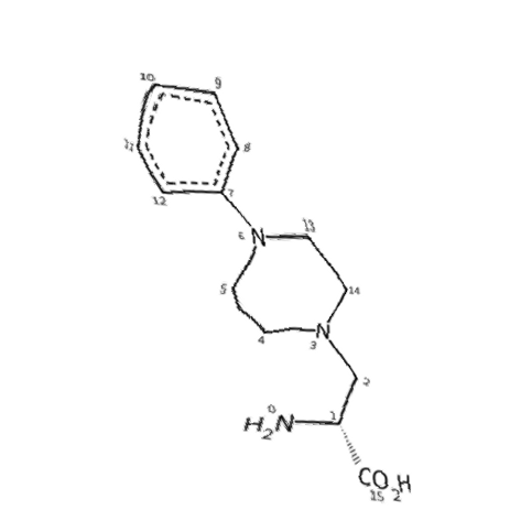 N[C@H](CN1CCN(c2ccccc2)CC1)C(=O)O